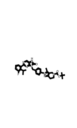 Cc1c2c(nn1-c1ccc(Cn3c(=O)[nH]c4cnc(-c5cccc(F)c5C(C)C)nc43)cc1)CCN(C(=O)OC(C)(C)C)C2